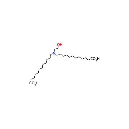 O=C(O)CCCCCCCCCCCN(CCO)CCCCCCCCCCCC(=O)O